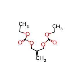 C=C(COC(=O)OCC)COC(=O)OCC